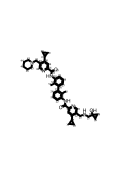 Cc1c(NC(=O)c2cc(C3CC3)c(CNCC3(O)CC3)cn2)cccc1-c1cccc(NC(=O)c2cc(C3CC3)c(CN3CCCCC3)cn2)c1C